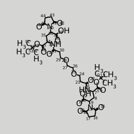 CC(C)(C)OC(=O)C(CC(C(=O)O)N1C(=O)CCC1=O)NC(=O)CCOCCOCCC(=O)NC(CC(C(=O)O)N1C(=O)CCC1=O)C(=O)OC(C)(C)C